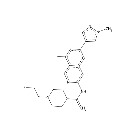 C=C(Nc1cc2cc(-c3cnn(C)c3)cc(F)c2cn1)C1CCN(CCF)CC1